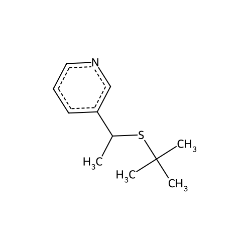 CC(SC(C)(C)C)c1cccnc1